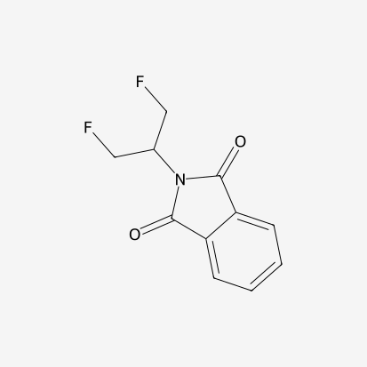 O=C1c2ccccc2C(=O)N1C(CF)CF